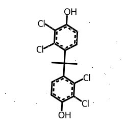 CC(C)(c1ccc(O)c(Cl)c1Cl)c1ccc(O)c(Cl)c1Cl